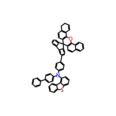 C1=Cc2c(ccc3c2Oc2c(ccc4ccccc24)C32c3ccccc3-c3cc(-c4ccc(N(c5ccc(-c6ccccc6)cc5)c5cccc6sc7ccccc7c56)cc4)ccc32)CC1